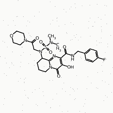 CN(C)S(=O)(=O)N(CC(=O)N1CCOCC1)C1CCCn2c1nc(C(=O)NCc1ccc(F)cc1)c(O)c2=O